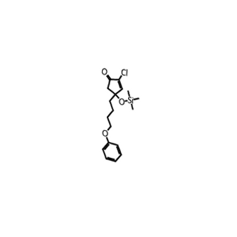 C[Si](C)(C)OC1(CCCCOc2ccccc2)C=C(Cl)C(=O)C1